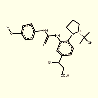 CCOc1ccc(NC(=O)Nc2cc(C(CC)CC(=O)O)ccc2N2CCC[C@@H]2C(C)(C)O)cc1